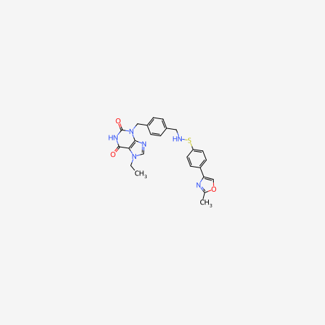 CCn1cnc2c1c(=O)[nH]c(=O)n2Cc1ccc(CNSc2ccc(-c3coc(C)n3)cc2)cc1